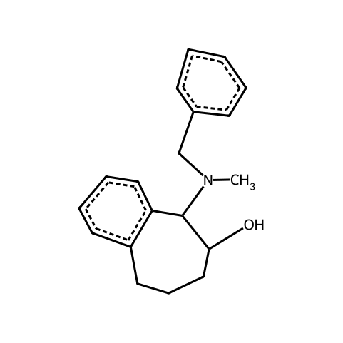 CN(Cc1ccccc1)C1c2ccccc2CCCC1O